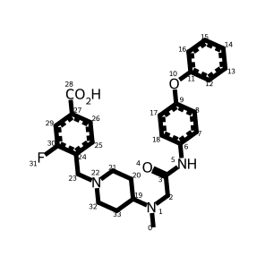 CN(CC(=O)Nc1ccc(Oc2ccccc2)cc1)C1CCN(Cc2ccc(C(=O)O)cc2F)CC1